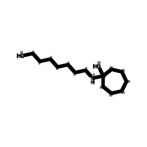 OCCCCCCCNC1(O)CCCCCC1